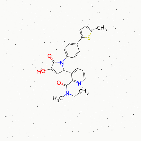 CCN(C)C(=O)c1ncccc1C1C=C(O)C(=O)N1c1ccc(-c2ccc(C)s2)cc1